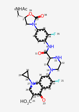 CC(=O)NC[C@H]1CN(c2ccc(NC(=O)C3CN(c4cc5c(cc4F)c(=O)c(C(=O)O)cn5C4CC4)CCN3)c(F)c2)C(=O)O1